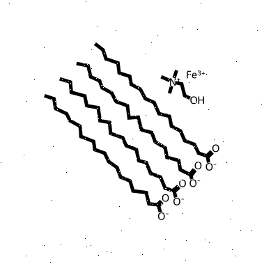 CCCCCCCCCCCCCCCCCC(=O)[O-].CCCCCCCCCCCCCCCCCC(=O)[O-].CCCCCCCCCCCCCCCCCC(=O)[O-].CCCCCCCCCCCCCCCCCC(=O)[O-].C[N+](C)(C)CCO.[Fe+3]